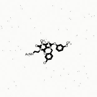 CC(=O)NCCn1c(=O)c2c(nc(Oc3cccc(OC(F)(F)F)c3)n2Cc2ccc(Cl)cc2)n(C)c1=O